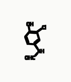 O=CNc1ccc(O)c(Cl)c1